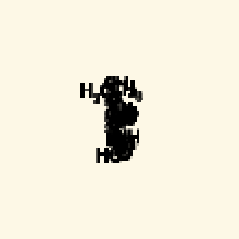 CC(C)(C)c1ccc(COc2ccc(-c3ncc(C(=O)O)c(=O)[nH]3)cc2-n2cnnn2)cc1